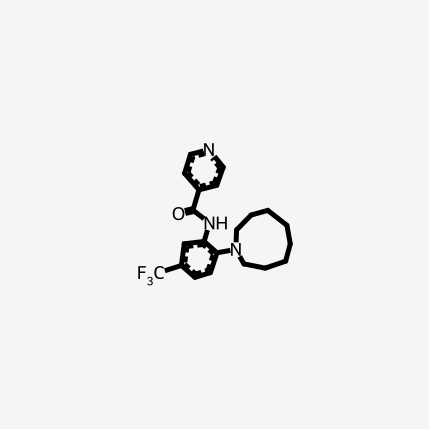 O=C(Nc1cc(C(F)(F)F)ccc1N1CCCCCCCC1)c1ccncc1